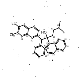 CCc1cc2ccc(C(c3ccccc3)C(O)(CCN(C)C)c3cccc4ccccc34)nc2nc1Cl